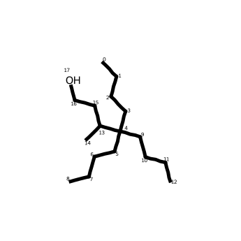 CCCCC(CCCC)(CCCC)C(C)CCO